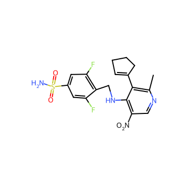 Cc1ncc([N+](=O)[O-])c(NCc2c(F)cc(S(N)(=O)=O)cc2F)c1C1=CCCC1